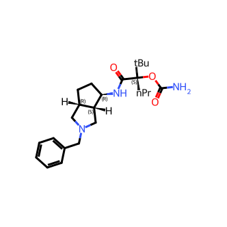 CCC[C@@](OC(N)=O)(C(=O)N[C@@H]1CC[C@H]2CN(Cc3ccccc3)C[C@H]21)C(C)(C)C